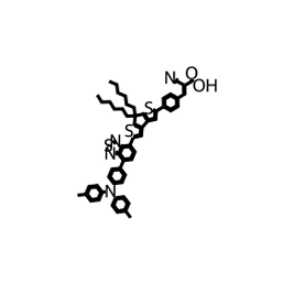 CCCCCCC1(CCCCCC)c2sc(-c3ccc(/C=C(\C#N)C(=O)O)cc3)cc2-c2cc(-c3ccc(-c4ccc(N(c5ccc(C)cc5)c5ccc(C)cc5)cc4)c4nsnc34)sc21